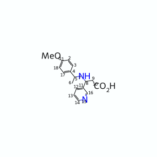 COc1ccc(C(C)NC(CC(=O)O)c2cccnc2)cc1